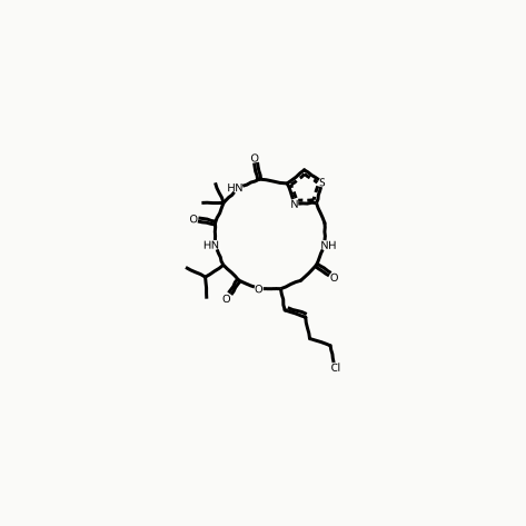 CC(C)C1NC(=O)C(C)(C)NC(=O)c2csc(n2)CNC(=O)CC(/C=C/CCCl)OC1=O